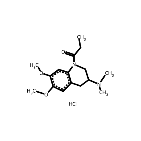 CCC(=O)N1CC(N(C)C)Cc2cc(OC)c(OC)cc21.Cl